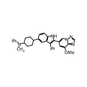 COc1cc(-c2[nH]c3ccc(C4CCC(N(C)C(C)C)CC4)cc3c2C(C)C)cn2ncnc12